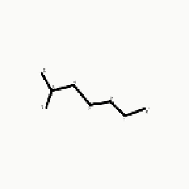 [CH2]C[CH]CCC(C)C